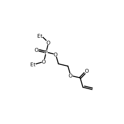 C=CC(=O)OCCOP(=O)(OCC)OCC